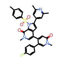 Cc1ccc(S(=O)(=O)n2c(-c3cc(C)nc(C)c3)cc3c(-c4cc(=O)n(C)cc4-c4ccc(F)cc4)cn(C)c(=O)c32)cc1